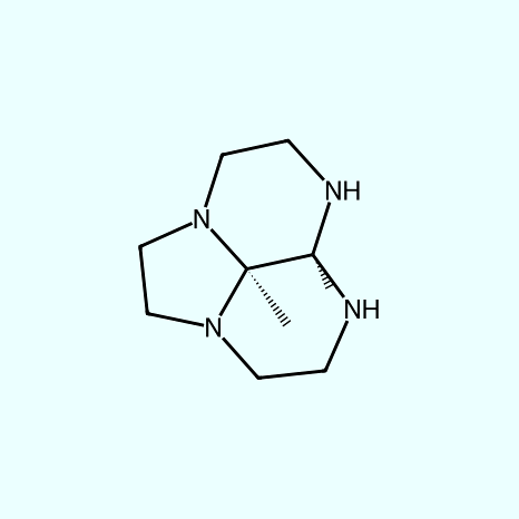 C[C@]12NCCN3CCN(CCN1)[C@@]32C